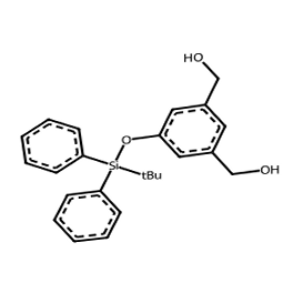 CC(C)(C)[Si](Oc1cc(CO)cc(CO)c1)(c1ccccc1)c1ccccc1